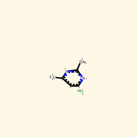 CC(=O)Oc1nccc(C(F)(F)F)n1.Cl